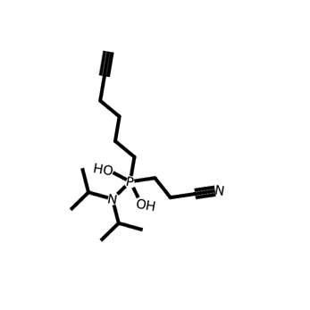 C#CCCCCP(O)(O)(CCC#N)N(C(C)C)C(C)C